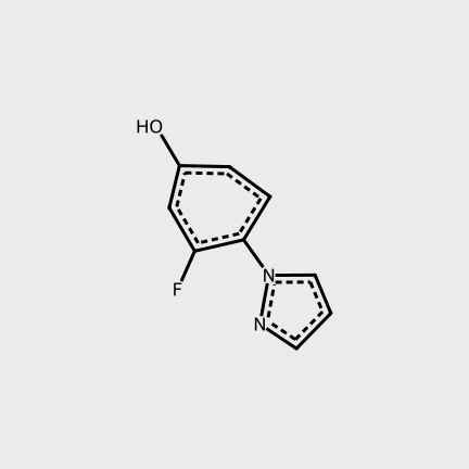 Oc1ccc(-n2cccn2)c(F)c1